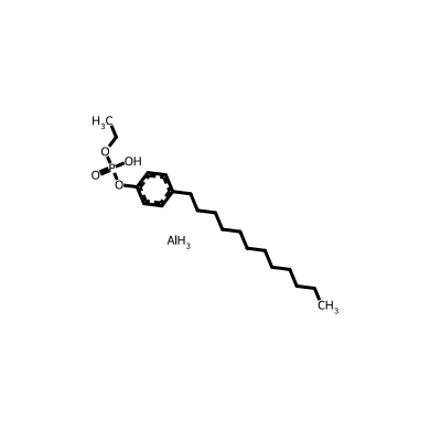 CCCCCCCCCCCCc1ccc(OP(=O)(O)OCC)cc1.[AlH3]